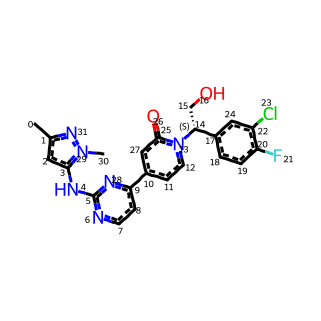 Cc1cc(Nc2nccc(-c3ccn([C@H](CO)c4ccc(F)c(Cl)c4)c(=O)c3)n2)n(C)n1